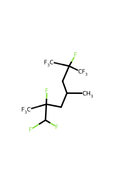 CC(CC(F)(C(F)F)C(F)(F)F)CC(F)(C(F)(F)F)C(F)(F)F